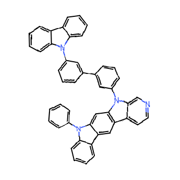 c1ccc(-n2c3ccccc3c3cc4c5ccncc5n(-c5cccc(-c6cccc(-n7c8ccccc8c8ccccc87)c6)c5)c4cc32)cc1